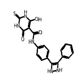 O=C(Nc1ccc(-c2[nH][nH]c2-c2ccccc2)cc1)c1c(O)[nH]c(=S)[nH]c1=O